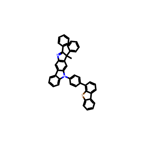 CC1(c2ccccc2)C(c2ccccc2)=Nc2cc3c4ccccc4n(-c4ccc(-c5cccc6c5sc5ccccc56)cc4)c3cc21